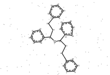 c1ccc(CCC(OC(CCc2ccccc2)c2ccccc2)c2ccccc2)cc1